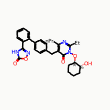 CCCc1nc(CC)n(O[C@@H]2CCCC[C@H]2O)c(=O)c1Cc1ccc(-c2ccccc2-c2noc(=O)[nH]2)cc1